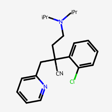 CC(C)N(CCC(C#N)(Cc1ccccn1)c1ccccc1Cl)C(C)C